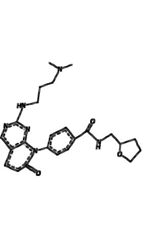 Cc1nc(NCCCN(C)C)nc2c1ccc(=O)n2-c1ccc(C(=O)NCC2CCCO2)cc1